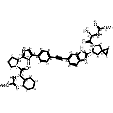 COC(=O)N[C@H](C(=O)N1CCC[C@H]1c1ncc(-c2ccc(C#Cc3ccc4nc([C@@H]5CC6(CC6)CN5C(=O)[C@H](NC(=O)OC)C(C)C)[nH]c4c3)cc2)[nH]1)C1CCCCC1